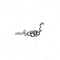 CCCCCCCCC(=O)O[C@H]1CC[C@@]2(C)C(=CC[C@@H]3[C@@H]2CC[C@]2(C)C([C@H](C)CCCC(C)C)CC[C@@H]32)C1